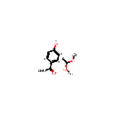 CCOC(C)OCC.O=CC(=O)c1ccc(O)cc1